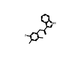 C=C(Cc1cc(F)c(C)cc1C)c1c[nH]c2ccccc12